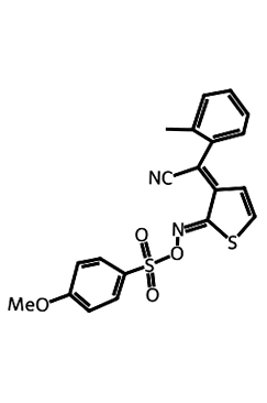 COc1ccc(S(=O)(=O)O/N=C2\SC=C\C2=C(\C#N)c2ccccc2C)cc1